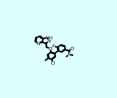 Cc1cc(OCc2n[nH]c3cccnc23)c(-c2cc(C(=O)N(C)C)ccc2F)cc1Cl